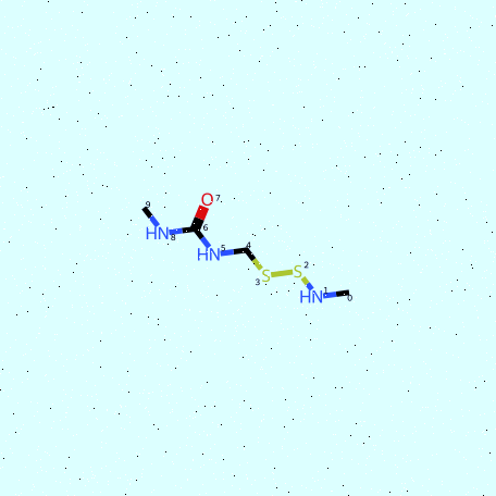 CNSSCNC(=O)NC